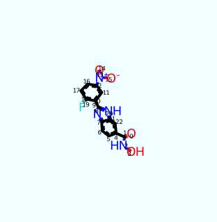 O=C(NO)c1ccc2nc(-c3cc([N+](=O)[O-])ccc3F)[nH]c2c1